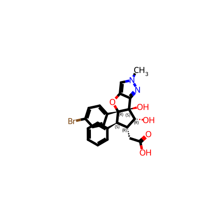 Cn1cc2c(n1)[C@]1(O)[C@H](O)[C@H](CC(=O)O)[C@@H](c3ccccc3)[C@]1(c1ccc(Br)cc1)O2